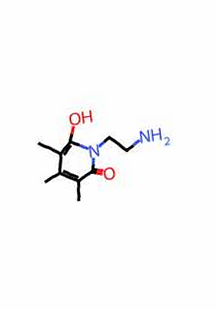 Cc1c(C)c(O)n(CCN)c(=O)c1C